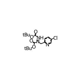 CC(C)(C)OC(=O)NN(Cc1ccc(Cl)cn1)C(=O)OC(C)(C)C